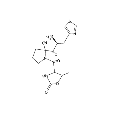 CC1OC(=O)NC1C(=O)N1CCCC1(C#N)C(=O)[C@@H](N)Cc1cscn1